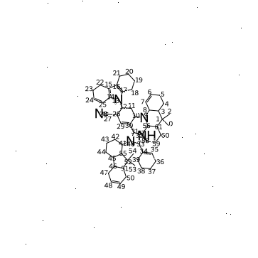 CC1(C)C2CCC=CC2N(C2CC(n3c4c(c5c3CCCC5)CCC=C4)C(C#N)C=C2C2NC(C3=CCCCC3)N2C2CCCC3C4CC=CCC4C(C)(C)C32)C2CCCCC21